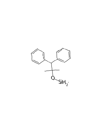 CC(C)(O[SiH2])C(c1ccccc1)c1ccccc1